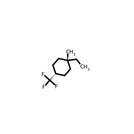 CC[C@]1(C)CC[C@H](C(F)(F)F)CC1